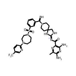 B=C(c1cccc(S(=O)(=O)N2CCCN(c3ccc(C(F)(F)F)cn3)CC2)c1)N1CCC2(CC1)CN/C(=N\C(=O)c1nc(C)c(N)nc1N)N2